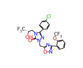 O=c1n(Cc2nc(-c3ccccc3OC(F)(F)F)no2)nc(-c2ccc(Cl)cc2)n1C[C@H](O)C(F)(F)F